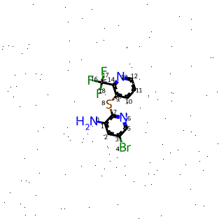 Nc1cc(Br)cnc1Sc1cccnc1C(F)(F)F